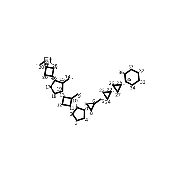 C1CCCC1.[CH2]C1CC1.[CH2]C1CCC1.[CH2]C1CCCC1.[CH2]CC.[CH]1CC1.[CH]1CC1.[CH]1CCC1.[CH]1CCCCC1